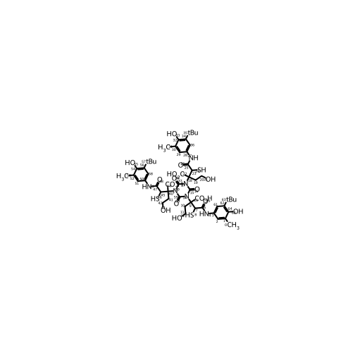 Cc1cc(NC(=O)C(S)C(CCO)(C(=O)O)n2c(=O)n(C(CCO)(C(=O)O)C(S)C(=O)Nc3cc(C)c(O)c(C(C)(C)C)c3)c(=O)n(C(CCO)(C(=O)O)C(S)C(=O)Nc3cc(C)c(O)c(C(C)(C)C)c3)c2=O)cc(C(C)(C)C)c1O